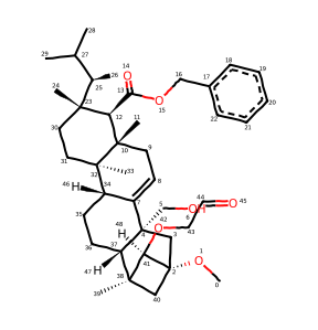 CO[C@]12C[C@]3(CO)C4=CC[C@@]5(C)[C@H](C(=O)OCc6ccccc6)[C@@](C)([C@H](C)C(C)C)CC[C@]5(C)[C@H]4CC[C@H]3[C@](C)(C1)[C@H]2OCC=O